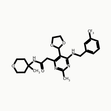 Cc1nc(CC(=O)NC2(C)CCOCC2)c(C2OCCO2)c(NCc2cccc(C(F)(F)F)c2)n1